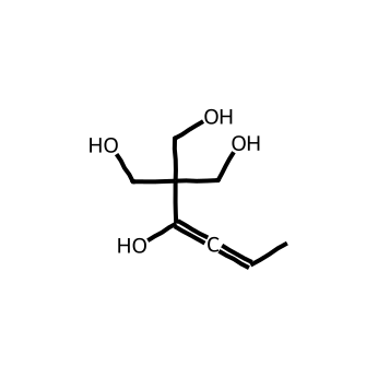 CC=C=C(O)C(CO)(CO)CO